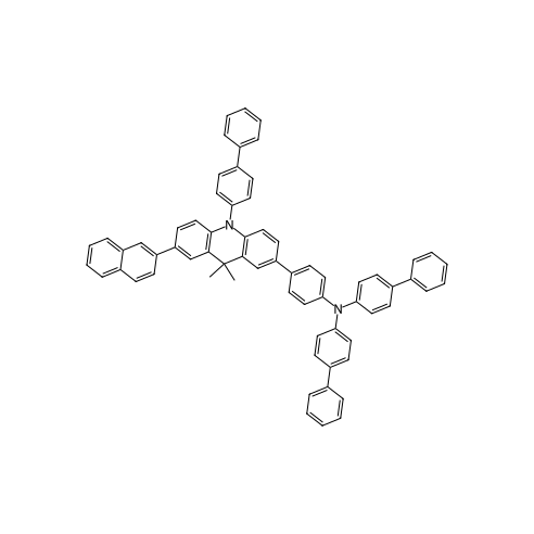 CC1(C)c2cc(-c3ccc(N(c4ccc(-c5ccccc5)cc4)c4ccc(-c5ccccc5)cc4)cc3)ccc2N(c2ccc(-c3ccccc3)cc2)c2ccc(-c3ccc4ccccc4c3)cc21